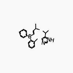 CC(C)c1cnc[nH]1.Cc1ccccc1B(C=CC(C)C)c1ccccc1